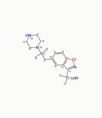 CCCC(C)(C)c1noc2ccc(CC(C)(C)N3CCNCC3)cc12